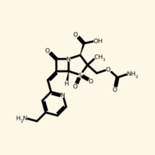 CC1(COC(N)=O)[C@H](C(=O)O)N2C(=O)/C(=C/c3cc(CN)ccn3)[C@H]2S1(=O)=O